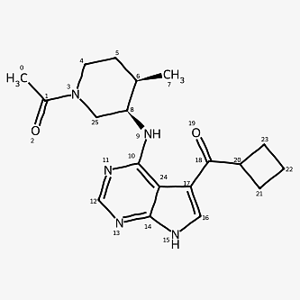 CC(=O)N1CC[C@@H](C)[C@@H](Nc2ncnc3[nH]cc(C(=O)C4CCC4)c23)C1